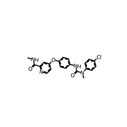 CNC(=O)c1cc(Oc2ccc(NC(=O)N(C)c3ccc(Cl)cc3)cc2)ccn1